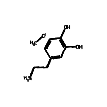 CCl.NCCc1ccc(O)c(O)c1